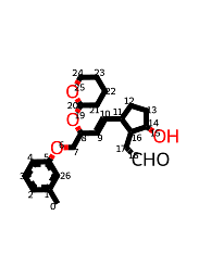 Cc1cccc(OCC(C=CC2CCC(O)C2CC=O)OC2CCCCO2)c1